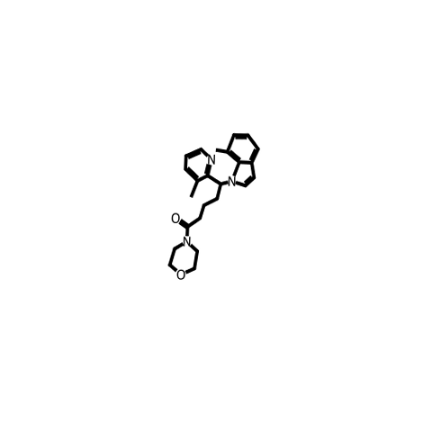 Cc1cccnc1C(CCCC(=O)N1CCOCC1)n1ccc2cccc(C)c21